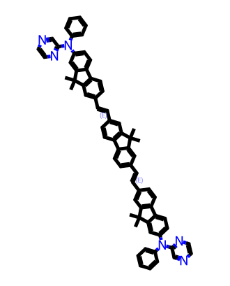 CC1(C)c2cc(/C=C/c3ccc4c(c3)C(C)(C)c3cc(N(c5ccccc5)c5cnccn5)ccc3-4)ccc2-c2ccc(/C=C/c3ccc4c(c3)C(C)(C)c3cc(N(c5ccccc5)c5cnccn5)ccc3-4)cc21